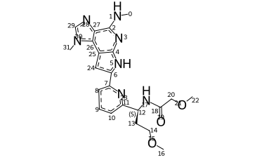 CNc1nc2[nH]c(-c3cccc([C@H](CCOC)NC(=O)COC)n3)cc2c2c1ncn2C